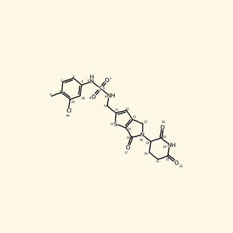 Cc1ccc(NS(=O)(=O)NCc2cc3c(s2)C(=O)N(C2CCC(=O)NC2=O)C3)cc1Cl